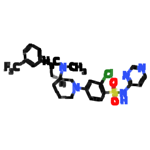 CN(C)[C@]1(CCc2cccc(C(F)(F)F)c2)CCCN(c2ccc(S(=O)(=O)Nc3ccncn3)c(Cl)c2)C1